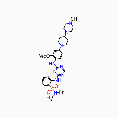 CCN(C)S(=O)(=O)c1ccccc1Nc1ncnc(Nc2ccc(N3CCC(N4CCN(C)CC4)CC3)cc2OC)n1